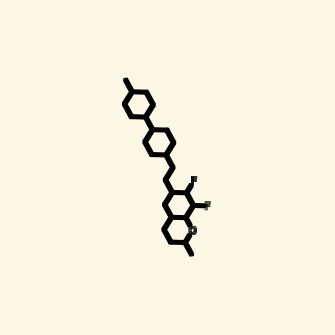 CC1CCC(C2CCC(CCC3CC4CCC(C)OC4C(F)C3F)CC2)CC1